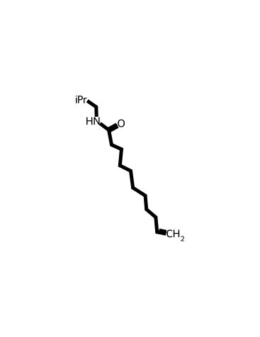 C=CCCCCCCCCC(=O)NCC(C)C